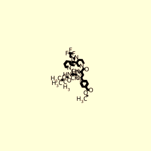 CCOC(=O)c1ccc(CCC(NC(=O)C(C)(C)NC(=O)OC(C)(C)C)C(=O)N2CCC3=NN(CC(F)(F)F)C(=O)[C@]3(Cc3ccccn3)C2)cc1